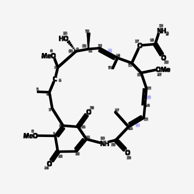 COC1=C2CC(C)CC(OC)[C@H](O)[C@@H](C)/C=C(\C)C(OC(N)=O)C(OC)/C=C\C=C(/C)C(=O)NC(=CC1=O)C2=O